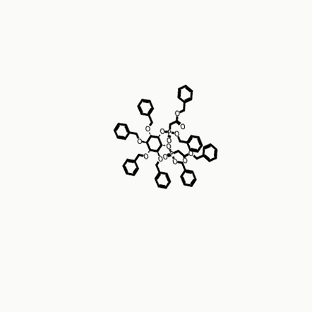 O=C(CP(=O)(OCc1ccccc1)O[C@@H]1[C@@H](OCc2ccccc2)[C@H](OCc2ccccc2)[C@@H](OCc2ccccc2)[C@H](OCc2ccccc2)[C@@H]1OP(=O)(CC(=O)OCc1ccccc1)OCc1ccccc1)OCc1ccccc1